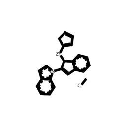 C1=CC[C]([Zr][CH]2C(n3ccc4ccccc43)=Cc3ccccc32)=C1.CCl